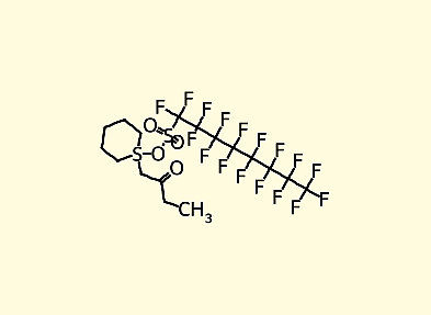 CCC(=O)CS1(OS(=O)(=O)C(F)(F)C(F)(F)C(F)(F)C(F)(F)C(F)(F)C(F)(F)C(F)(F)C(F)(F)F)CCCCC1